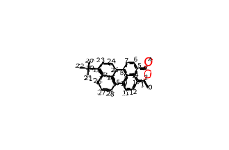 C=c1oc(=O)c2ccc3c4c(ccc1c42)C1=C2C(=C(C(C)(C)C)C=CC23)CC=C1